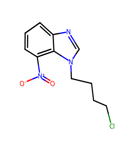 O=[N+]([O-])c1cccc2ncn(CCCCCl)c12